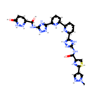 Cn1cc(-c2nc(C(=O)Nc3nnc(-c4cccc(-c5cccc(-c6nnc(NC(=O)c7ccc(=O)[nH]n7)[nH]6)n5)n4)[nH]3)cs2)cn1